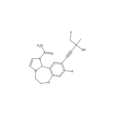 CC(O)(C#Cc1cc2c(cc1F)OCCN1C=CN(C(N)=O)C21)CF